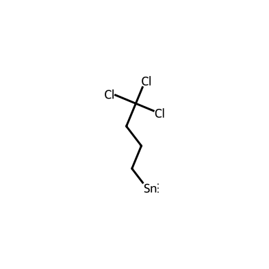 ClC(Cl)(Cl)CC[CH2][Sn]